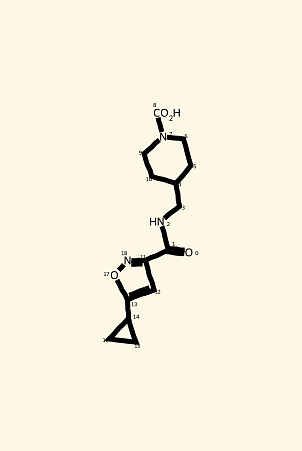 O=C(NCC1CCN(C(=O)O)CC1)c1cc(C2CC2)on1